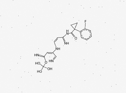 N=C/C(=C\C(=N)OC(O)(O)O)N/C=C\C(=N)NC(=O)C1(c2ccccc2F)CC1